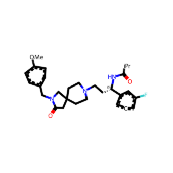 COc1ccc(CN2CC3(CCN(CC[C@H](NC(=O)C(C)C)c4cccc(F)c4)CC3)CC2=O)cc1